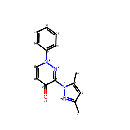 Cc1cc(C)n(-c2nn(-c3ccccc3)ccc2=O)n1